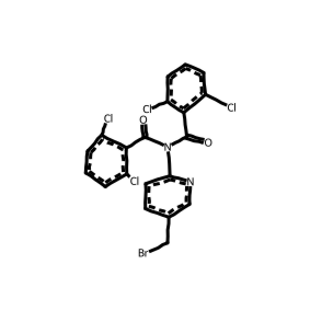 O=C(c1c(Cl)cccc1Cl)N(C(=O)c1c(Cl)cccc1Cl)c1ccc(CBr)cn1